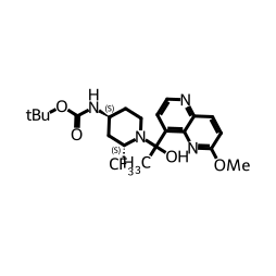 COc1ccc2nccc(C(C)(O)N3CC[C@H](NC(=O)OC(C)(C)C)C[C@H]3C(F)(F)F)c2n1